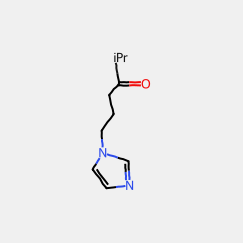 CC(C)C(=O)CCCn1ccnc1